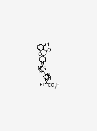 CCC(C(=O)O)n1nnc(-c2nnc(N3CCC4(CC3)CC(=O)c3c(Cl)cccc3O4)s2)n1